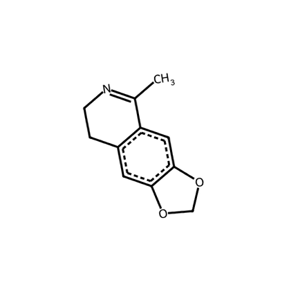 CC1=NCCc2cc3c(cc21)OCO3